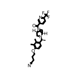 Cc1c(OCCCC#N)ccc([C@H](C)N2C[C@@H]3C[C@H]2CN3C(=O)c2ccc(C(F)(F)F)nc2)c1C